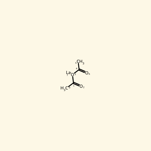 CC(=O)OC(C)=O.[La]